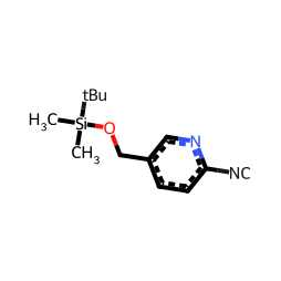 [C-]#[N+]c1ccc(CO[Si](C)(C)C(C)(C)C)cn1